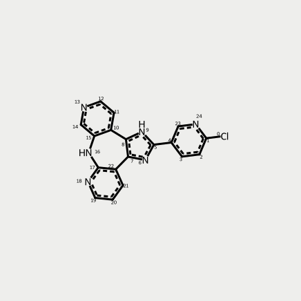 Clc1ccc(-c2nc3c([nH]2)-c2ccncc2Nc2ncccc2-3)cn1